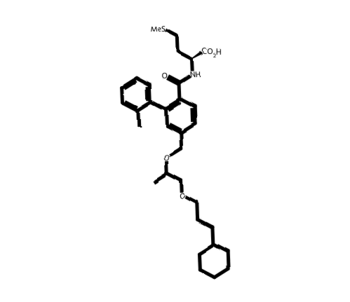 CSCC[C@H](NC(=O)c1ccc(COC(C)COCCCC2CCCCC2)cc1-c1ccccc1C)C(=O)O